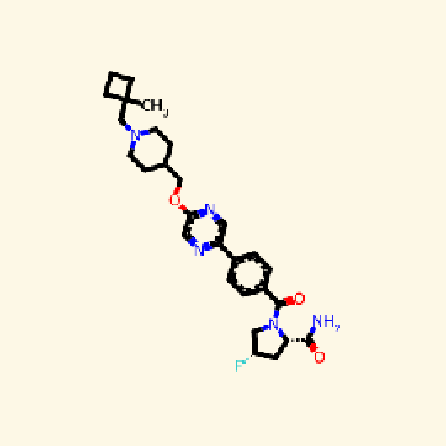 CC1(CN2CCC(COc3cnc(-c4ccc(C(=O)N5C[C@@H](F)C[C@H]5C(N)=O)cc4)cn3)CC2)CCC1